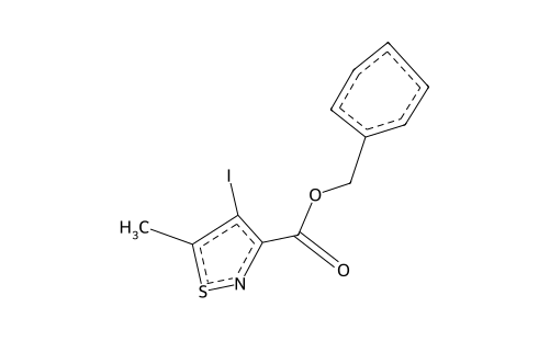 Cc1snc(C(=O)OCc2ccccc2)c1I